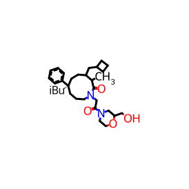 CCC(C)[C@@]1(c2ccccc2)CCCN(CC(=O)N2CCOC(CO)C2)C(=O)C(C)C(CC2CCC2)CC1